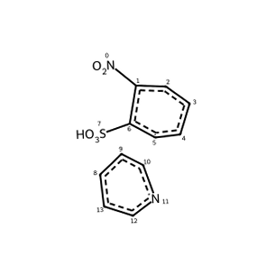 O=[N+]([O-])c1ccc[c]c1S(=O)(=O)O.c1ccncc1